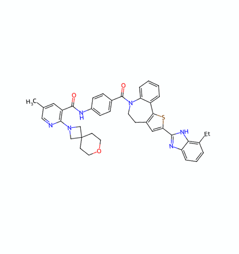 CCc1cccc2nc(-c3cc4c(s3)-c3ccccc3N(C(=O)c3ccc(NC(=O)c5cc(C)cnc5N5CC6(CCOCC6)C5)cc3)CC4)[nH]c12